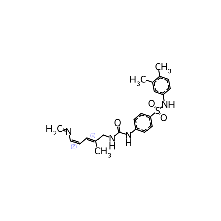 C=N/C=C\C=C(/C)CNC(=O)Nc1ccc(S(=O)(=O)Nc2ccc(C)c(C)c2)cc1